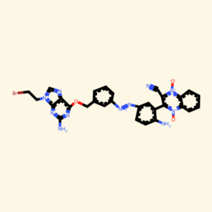 N#Cc1c(-c2cc(/N=N/c3cccc(COc4nc(N)nc5c4ncn5CCBr)c3)ccc2N)[n+]([O-])c2ccccc2[n+]1[O-]